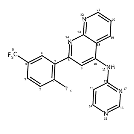 Fc1ccc(C(F)(F)F)cc1-c1cc(Nc2ccncn2)c2cccnc2n1